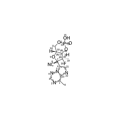 Cc1ncnn2c([C@]3(C#N)O[C@@H]4COP(=O)(O)O[C@H]4[C@@]3(C)F)cnc12